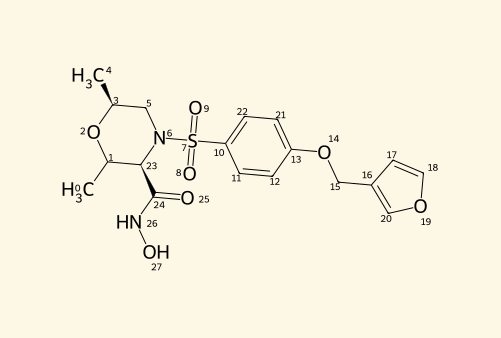 CC1O[C@@H](C)CN(S(=O)(=O)c2ccc(OCc3ccoc3)cc2)[C@H]1C(=O)NO